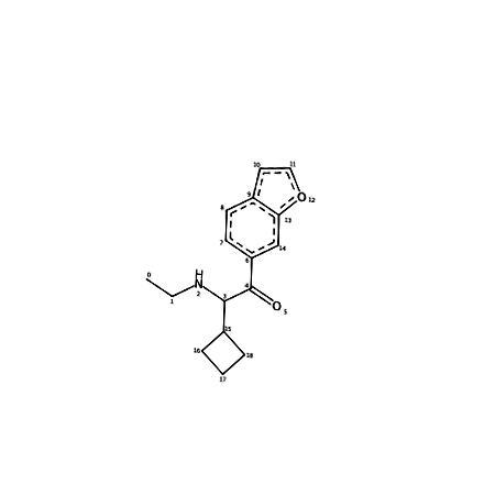 CCNC(C(=O)c1ccc2ccoc2c1)C1CCC1